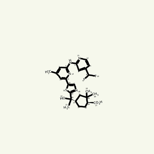 Cc1cc(Nc2cc(C(F)F)ccn2)nc(-c2cnc(C(C)(O)[C@H]3CC[C@H](C(=O)O)C(C)(C)C3)s2)c1